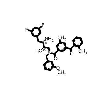 COc1cccc(CN(C[C@@H](O)[C@@H](N)Cc2cc(F)cc(F)c2)C(=O)c2cc(C)cc(C(=O)c3ccccc3C)c2)c1